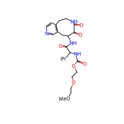 COCCOCCOC(=O)NC(C(=O)NC1Cc2cnccc2CCNC(=O)C1=O)C(C)C